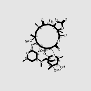 CC[C@H]1OC(=O)[C@H](C)[C@@H](O[C@H]2C[C@@](C)(OC)[C@@H](O)[C@H](C)O2)[C@H](C)[C@@H](O[C@@H]2O[C@H](C)C[C@H](N(C)CCN)[C@H]2O)[C@@](C)(OC)C[C@@H](C)C(=O)[C@H](C)[C@H]2NC(=O)O[C@@]21C